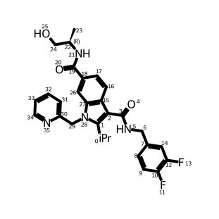 CC(C)c1c(C(=O)NCc2ccc(F)c(F)c2)c2ccc(C(=O)N[C@H](C)CO)cc2n1Cc1ccccn1